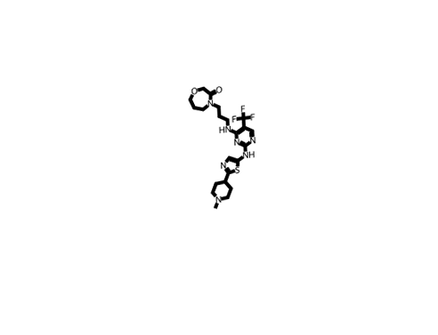 CN1CCC(c2ncc(Nc3ncc(C(F)(F)F)c(NCCCN4CCCOCC4=O)n3)s2)CC1